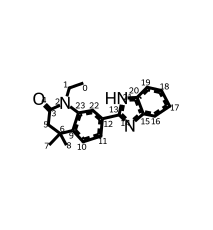 CCN1C(=O)CC(C)(C)c2ccc(-c3nc4ccccc4[nH]3)cc21